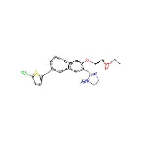 CCOCCOc1cc2ccc(-c3ccc(Cl)s3)cc2cc1C1=NCCN1